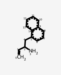 C=CC(N)Cc1cccc2ccccc12